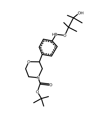 CC(C)(C)OC(=O)N1CCOC(c2ccc(BOC(C)(C)C(C)(C)O)cc2)C1